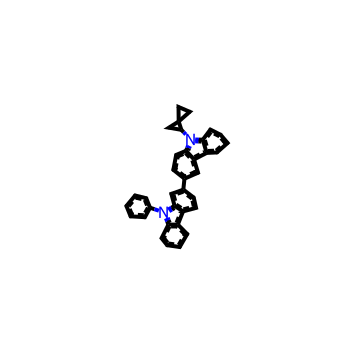 c1ccc(-n2c3ccccc3c3ccc(-c4ccc5c(c4)c4ccccc4n5C4CC45CC5)cc32)cc1